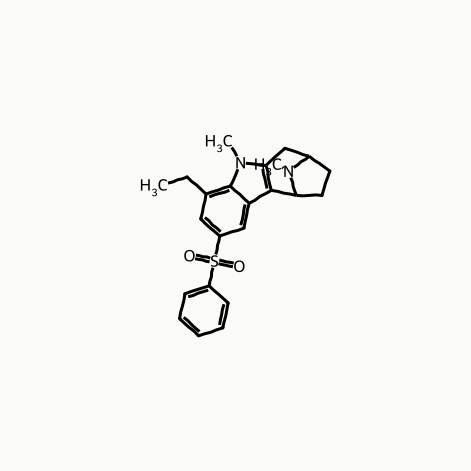 CCc1cc(S(=O)(=O)c2ccccc2)cc2c3c(n(C)c12)CC1CCC3N1C